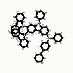 c1ccc(-c2ccc(N(c3ccccc3)c3ccc4c(c3)c3cc(-n5c6ccccc6c6ccccc65)c(-n5c6ccccc6c6ccccc65)cc3n4-c3ccccc3)cc2)cc1